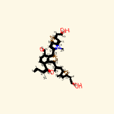 CC[C@@H](C)C(=O)c1ccc(C=O)c2c(-c3cc4sc(CCO)cc4n3C)sc(/C(C)=C/c3sc(CCO)cc3C)c12